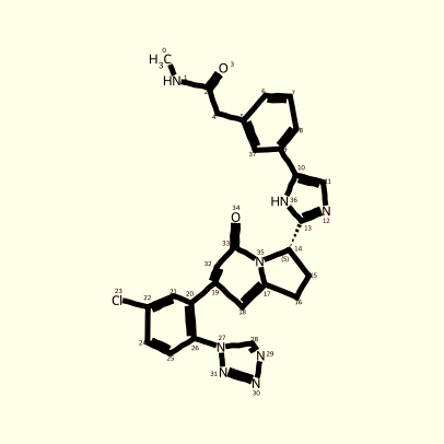 CNC(=O)Cc1cccc(-c2cnc([C@@H]3CCc4cc(-c5cc(Cl)ccc5-n5cnnn5)cc(=O)n43)[nH]2)c1